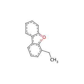 CCc1cccc2c1oc1ccccc12